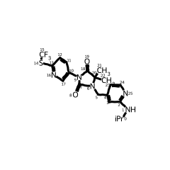 CC(C)Nc1cc(CN2C(=O)N(c3ccc(SC(F)(F)F)nc3)C(=O)C2(C)C)ccn1